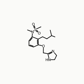 CC(C)CCc1c(OCC2=NCCN2)cccc1N(C)S(C)(=O)=O